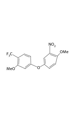 COc1ccc(Oc2ccc(C(F)(F)F)c(OC)c2)cc1[N+](=O)[O-]